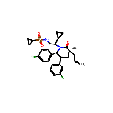 C=CC[C@@]1(CC)CC(c2cccc(Cl)c2)[C@@H](c2ccc(Cl)cc2)N([C@@H](CNS(=O)(=O)C2CC2)C2CC2)C1=O